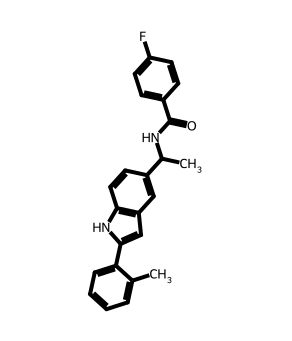 Cc1ccccc1-c1cc2cc(C(C)NC(=O)c3ccc(F)cc3)ccc2[nH]1